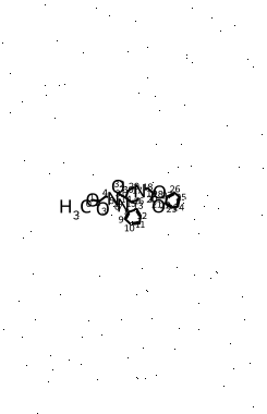 COC(=O)CN1CN(c2ccccc2)C2(CCN(CC3COc4ccccc4O3)CC2)C1=O